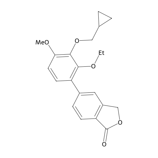 CCOc1c(-c2ccc3c(c2)COC3=O)ccc(OC)c1OCC1CC1